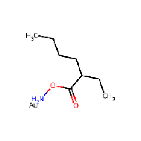 CCCCC(CC)C(=O)ON.[Au]